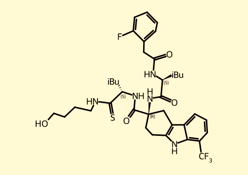 CCC(C)[C@H](NC(=O)Cc1ccccc1F)C(=O)N[C@]1(C(=O)N[C@H](C(=S)NCCCCO)C(C)CC)CCc2[nH]c3c(C(F)(F)F)cccc3c2C1